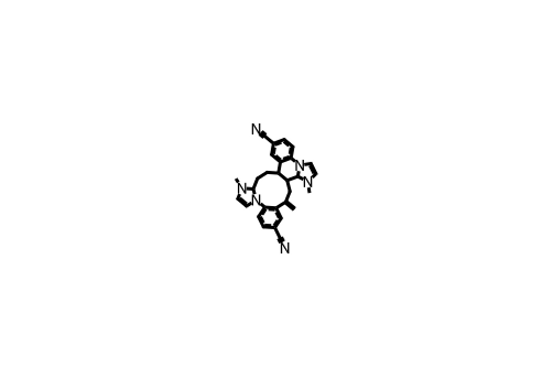 C=C1CC2C(CCC3N(C)C=CN3c3ccc(C#N)cc31)c1cc(C#N)ccc1N1C=CN(C)C21